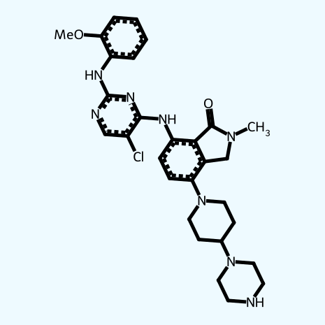 COc1ccccc1Nc1ncc(Cl)c(Nc2ccc(N3CCC(N4CCNCC4)CC3)c3c2C(=O)N(C)C3)n1